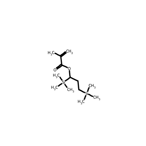 C=C(C)C(=O)OC(CC[Si](C)(C)C)[Si](C)(C)C